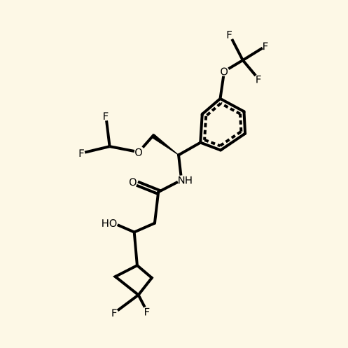 O=C(CC(O)C1CC(F)(F)C1)N[C@@H](COC(F)F)c1cccc(OC(F)(F)F)c1